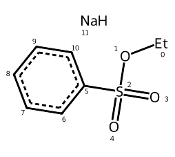 CCOS(=O)(=O)c1ccccc1.[NaH]